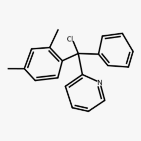 Cc1ccc(C(Cl)(c2ccccc2)c2ccccn2)c(C)c1